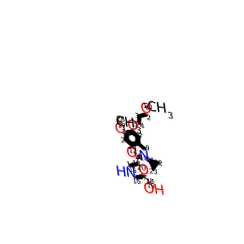 COCCCOc1cc(CN(C(=O)[C@H]2CNC[C@@H](CO)O2)C2CC2)ccc1OC